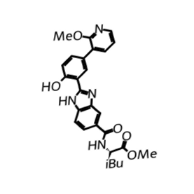 CC[C@H](C)[C@H](NC(=O)c1ccc2[nH]c(-c3cc(-c4cccnc4OC)ccc3O)nc2c1)C(=O)OC